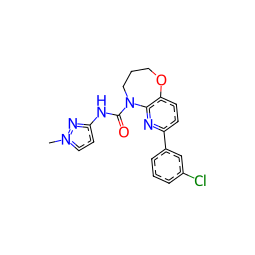 Cn1ccc(NC(=O)N2CCCOc3ccc(-c4cccc(Cl)c4)nc32)n1